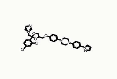 Clc1ccc(C2(Cn3ccnc3)OCC(COc3ccc(N4CCN(c5ccc(-n6cccn6)cc5)CC4)cc3)O2)c(Cl)c1